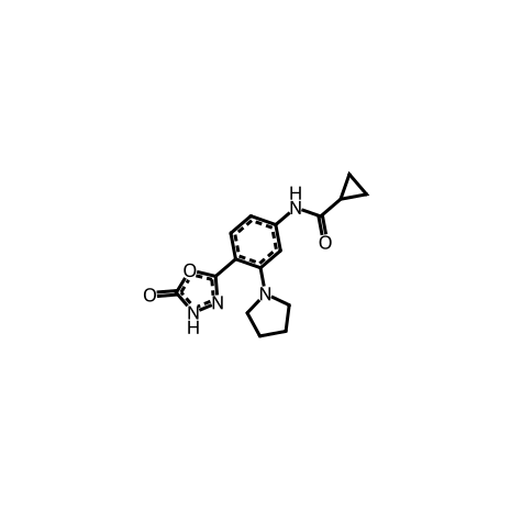 O=C(Nc1ccc(-c2n[nH]c(=O)o2)c(N2CCCC2)c1)C1CC1